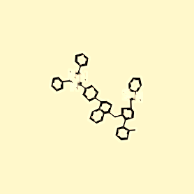 Cc1ccccc1-c1ccc(-c2nc3ccccc3s2)cc1Cc1ccc(-c2ccc(-c3nc(-c4ccccc4)nc(-c4ccccc4)n3)cc2)c2ccccc12